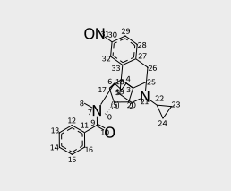 C[C@H]1CC23CCC(N(C)C(=O)c4ccccc4)C1C21CCN(C2CC2)C3Cc2ccc(N=O)cc21